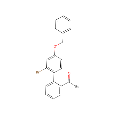 CCC(=O)c1ccccc1-c1ccc(OCc2ccccc2)cc1Br